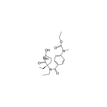 CCOC(=O)N(C)c1ccc(C(=O)N(CC)[C@@](CC)(CCC(=O)O)C(=O)O)cc1